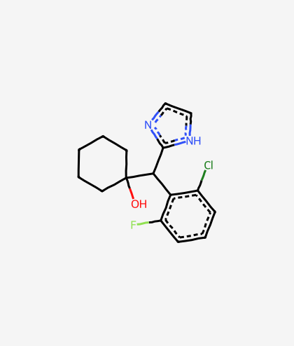 OC1(C(c2ncc[nH]2)c2c(F)cccc2Cl)CCCCC1